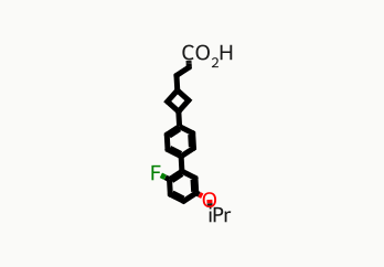 CC(C)Oc1ccc(F)c(-c2ccc(C3CC(CCC(=O)O)C3)cc2)c1